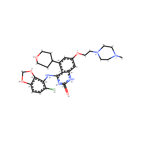 CN1CCN(CCOc2cc(C3CCOCC3)c3c(Nc4c(Cl)ccc5c4OCO5)nc(=O)[nH]c3c2)CC1